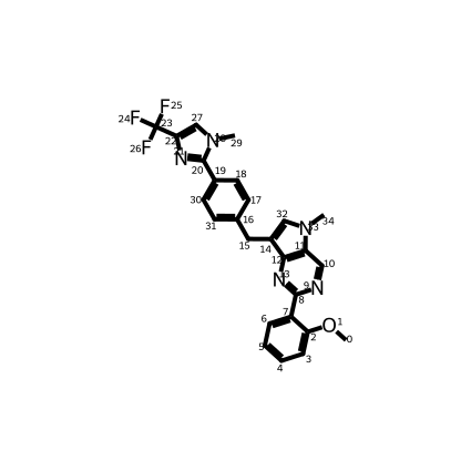 COc1ccccc1-c1ncc2c(n1)c(Cc1ccc(-c3nc(C(F)(F)F)cn3C)cc1)cn2C